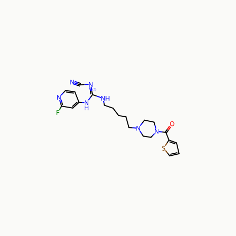 N#C/N=C(/NCCCCCN1CCN(C(=O)c2cccs2)CC1)Nc1ccnc(F)c1